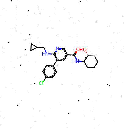 O=C(N[C@@H]1CCCC[C@H]1O)c1cnc(NCC2CC2)c(-c2ccc(Cl)cc2)c1